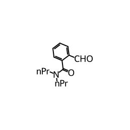 CCCN(CCC)C(=O)c1ccccc1C=O